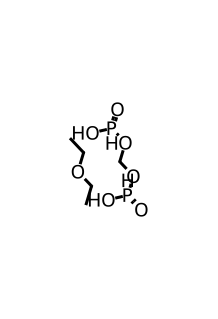 CCOCC.O=[PH](O)OCO[PH](=O)O